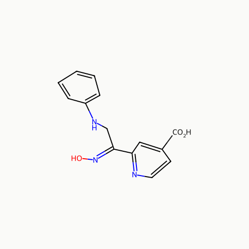 O=C(O)c1ccnc(/C(CNc2ccccc2)=N/O)c1